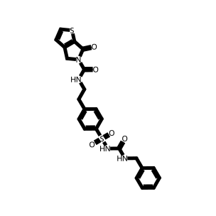 O=C(NCc1ccccc1)NS(=O)(=O)c1ccc(CCNC(=O)N2Cc3ccsc3C2=O)cc1